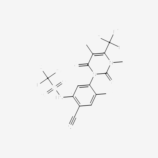 Cc1c(C(F)(F)F)n(C)c(=O)n(-c2cc(NS(=O)(=O)C(F)(F)F)c(C#N)cc2F)c1=O